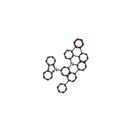 c1ccc(-c2ccc(-c3ccccc3N(c3cccc(-n4c5ccccc5c5ccccc54)c3)c3cccc(-c4ccccc4)c3-c3ccccc3-c3ccccc3)cc2)cc1